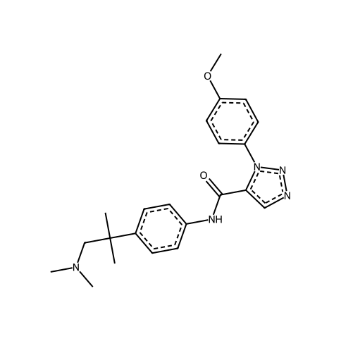 COc1ccc(-n2nncc2C(=O)Nc2ccc(C(C)(C)CN(C)C)cc2)cc1